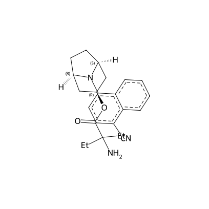 CCC(N)(CC)C(=O)O[C@H]1C[C@H]2CC[C@@H](C1)N2c1ccc(C#N)c2ccccc12